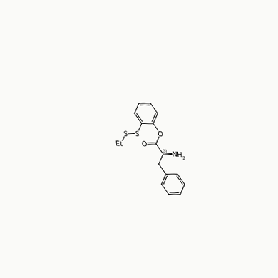 CCSSc1ccccc1OC(=O)[C@@H](N)Cc1ccccc1